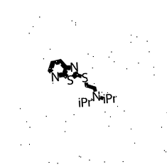 CC(C)N(CCSc1nc2cccnc2s1)C(C)C